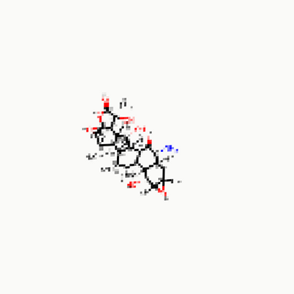 CC(=O)O[C@H]1C2C(C(=O)[C@H](N)[C@H]3C[C@@H]4O[C@@H]4[C@H](O)[C@]23C)[C@@H]2[C@@H](O)[C@@H]3[C@H]([C@H](C)[C@H]4O[C@]45OC(=O)[C@@](C)(O)[C@]35C)[C@@]2(C)[C@H]1OC(C)=O